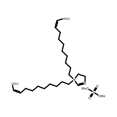 CCCCCCCC/C=C\CCCCCCCC[N+]1(CCCCCCCC/C=C\CCCCCCCC)C=NCC1.COS(=O)(=O)OC